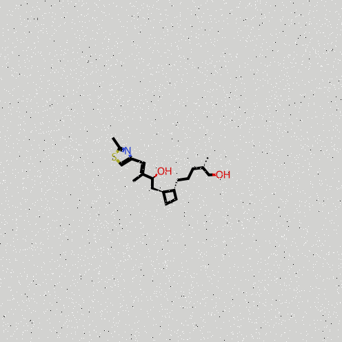 C/C(=C\c1csc(C)n1)[C@@H](O)C[C@@H]1CC[C@H]1CCC[C@H](C)CO